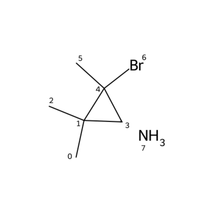 CC1(C)CC1(C)Br.N